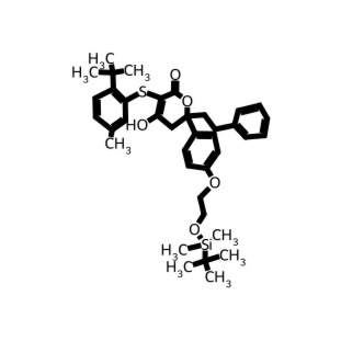 Cc1ccc(C(C)(C)C)c(SC2=C(O)CC(CCc3ccccc3)(c3ccc(OCCO[Si](C)(C)C(C)(C)C)cc3)OC2=O)c1